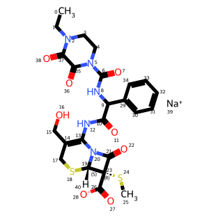 CCN1CCN(C(=O)NC(C(=O)NC2=C(CO)CS[C@@H]3N2C(=O)[C@@]3(SC)C(=O)[O-])c2ccccc2)C(=O)C1=O.[Na+]